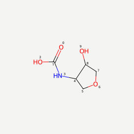 O=C(O)NC1COCC1O